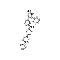 CCn1cc(-c2ccnc(Nc3ccc(N4CCN(C(=O)OC(C)(C)C)CC4)nc3)n2)c(-c2cccnc2)n1